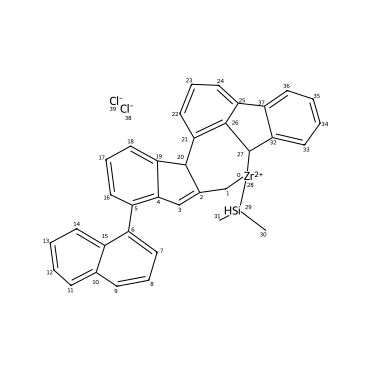 CCC1=Cc2c(-c3cccc4ccccc34)cccc2C1c1cccc2c1[CH]([Zr+2][SiH](C)C)c1ccccc1-2.[Cl-].[Cl-]